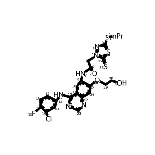 CCCSc1nn(CC(=O)Nc2cc3c(Nc4ccc(F)c(Cl)c4)ncnc3cc2OCCO)c(=S)s1